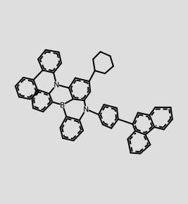 c1ccc(-c2ccccc2N2c3ccccc3B3c4ccccc4N(c4ccc(-c5cc6ccccc6c6ccccc56)cc4)c4cc(C5CCCCC5)cc2c43)cc1